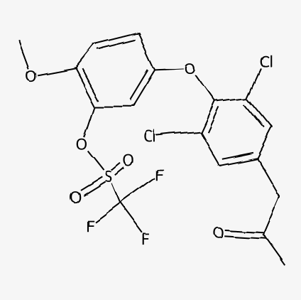 COc1ccc(Oc2c(Cl)cc(CC(C)=O)cc2Cl)cc1OS(=O)(=O)C(F)(F)F